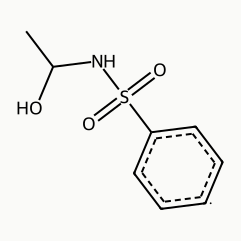 CC(O)NS(=O)(=O)c1cc[c]cc1